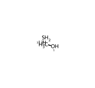 CO.S.[LiH]